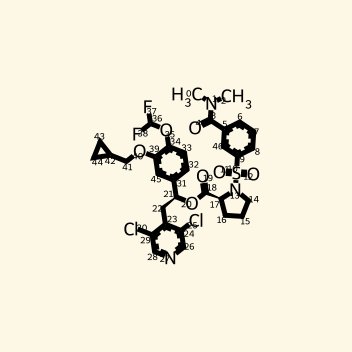 CN(C)C(=O)c1cccc(S(=O)(=O)N2CCC[C@H]2C(=O)O[C@@H](Cc2c(Cl)cncc2Cl)c2ccc(OC(F)F)c(OCC3CC3)c2)c1